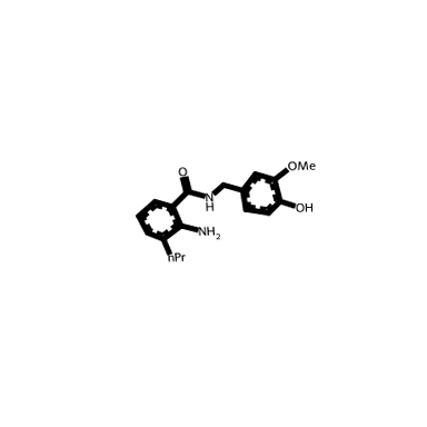 CCCc1cccc(C(=O)NCc2ccc(O)c(OC)c2)c1N